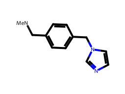 CNCc1ccc(Cn2ccnc2)cc1